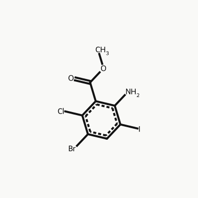 COC(=O)c1c(N)c(I)cc(Br)c1Cl